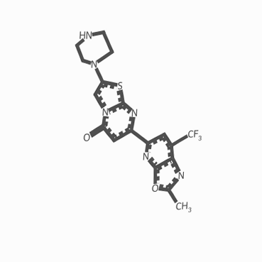 Cc1nc2c(C(F)(F)F)cc(-c3cc(=O)n4cc(N5CCNCC5)sc4n3)nc2o1